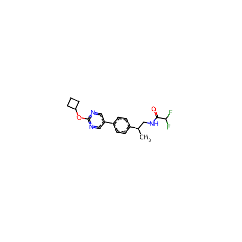 CC(CNC(=O)C(F)F)c1ccc(-c2cnc(OC3CCC3)nc2)cc1